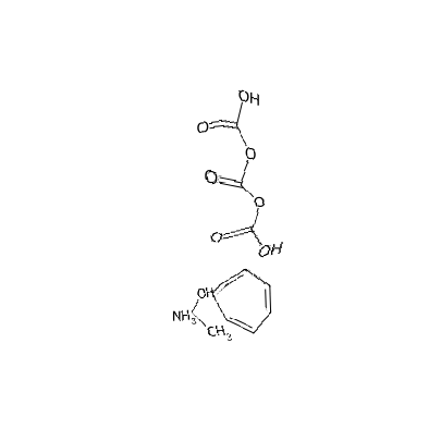 CCO.N.O=C(O)OC(=O)OC(=O)O.c1ccccc1